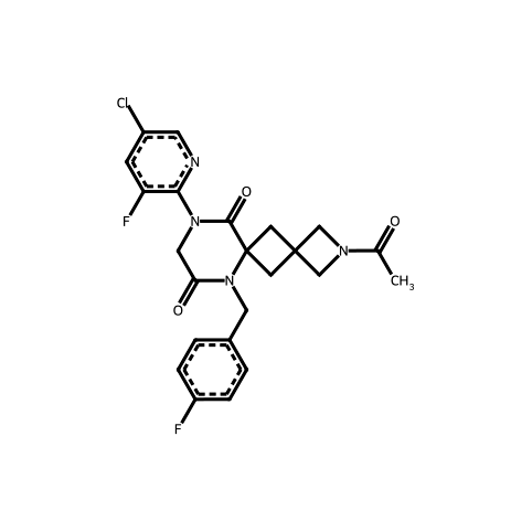 CC(=O)N1CC2(C1)CC1(C2)C(=O)N(c2ncc(Cl)cc2F)CC(=O)N1Cc1ccc(F)cc1